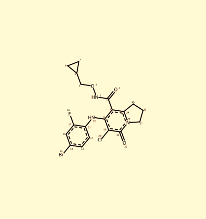 O=C(NOCC1CC1)c1c(Nc2ccc(Br)cc2F)c(Cl)c(=O)n2c1CCC2